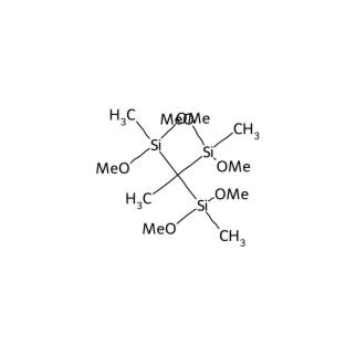 CO[Si](C)(OC)C(C)([Si](C)(OC)OC)[Si](C)(OC)OC